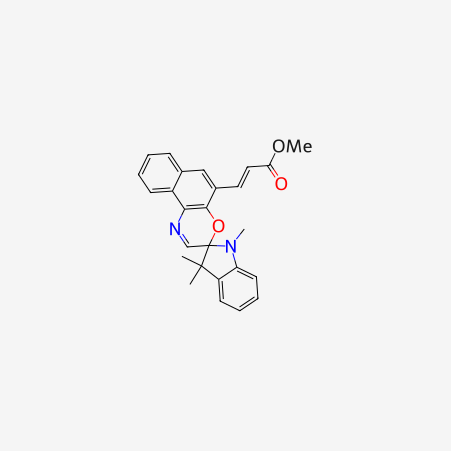 COC(=O)C=Cc1cc2ccccc2c2c1OC1(C=N2)N(C)c2ccccc2C1(C)C